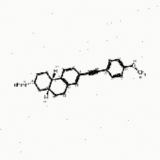 CCCCCC[C@@H]1CC[C@@H]2c3ccc(C#Cc4ccc(OC(F)(F)F)cc4)cc3CC[C@@H]2C1